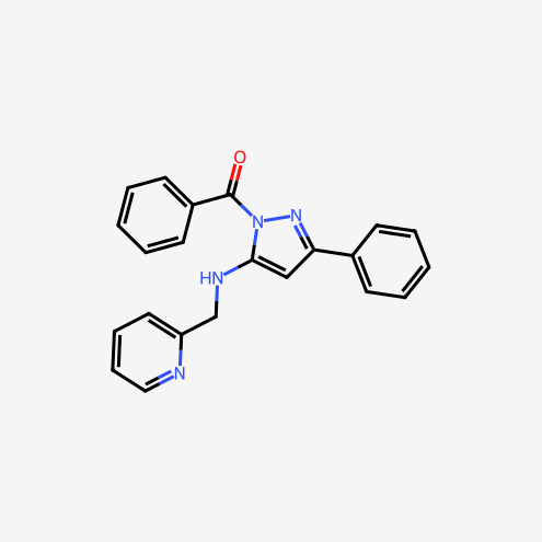 O=C(c1ccccc1)n1nc(-c2ccccc2)cc1NCc1ccccn1